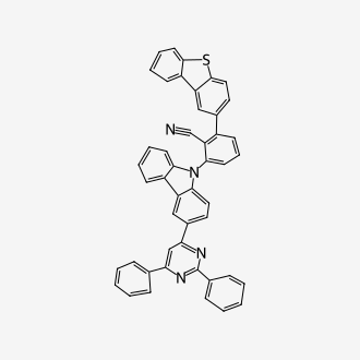 N#Cc1c(-c2ccc3sc4ccccc4c3c2)cccc1-n1c2ccccc2c2cc(-c3cc(-c4ccccc4)nc(-c4ccccc4)n3)ccc21